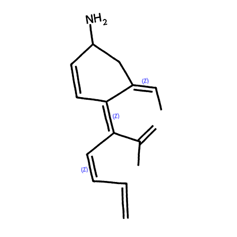 C=C\C=C/C(C(=C)C)=C1\C=CC(N)C\C1=C\C